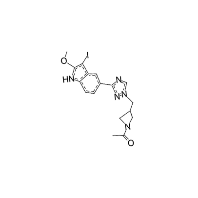 COc1[nH]c2ccc(-c3ncn(CC4CN(C(C)=O)C4)n3)cc2c1I